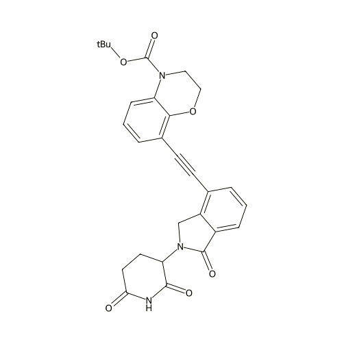 CC(C)(C)OC(=O)N1CCOc2c(C#Cc3cccc4c3CN(C3CCC(=O)NC3=O)C4=O)cccc21